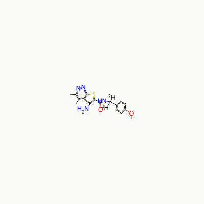 [2H]C([2H])(NC(=O)c1sc2nnc(C)c(C)c2c1N)c1ccc(OC)cc1